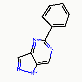 c1ccc(-c2ncc3[nH]ncc3n2)cc1